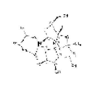 CC1(C)O[C@@H]2[C@H](O1)[C@@H]([N+]1([C@@H]3O[C@H](CO)[C@@H](O)[C@H]3O)C=C(Br)C(=O)NC1=O)O[C@H]2CO